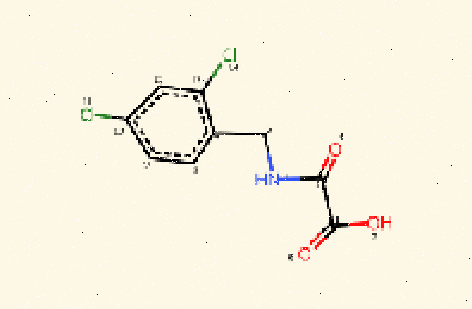 O=C(O)C(=O)NCc1ccc(Cl)cc1Cl